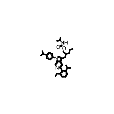 CCCC(COC(=O)NC(C)C)Cc1cn(-c2ccc(C(C)C)cc2)c2cnc(-c3c(CC)cccc3C(C)C)cc12